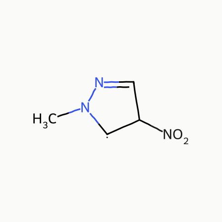 CN1[CH]C([N+](=O)[O-])C=N1